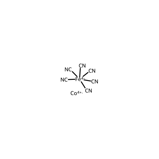 N#[C][Fe-4]([C]#N)([C]#N)([C]#N)([C]#N)[C]#N.[Co+4]